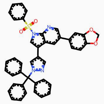 O=S(=O)(c1ccccc1)n1cc(-c2cnn(C(c3ccccc3)(c3ccccc3)c3ccccc3)c2)c2cc(-c3ccc4c(c3)OCO4)cnc21